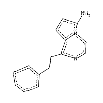 Nc1ccc2c(CCc3ccccc3)nccn12